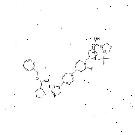 CC(C)(C)[C@]1(c2nc(-c3ccc(-c4ccc(-c5cnc([C@@H]6CCCN6C(=O)OCc6ccccc6)[nH]5)cc4)cc3F)c[nH]2)CCCN1C(=O)O